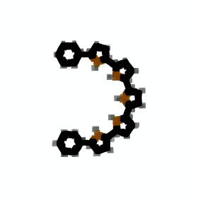 c1ccc(-c2ccc(-c3ccc(-c4ccc(-c5ccc(-c6ccc(-c7ccccc7)s6)s5)s4)s3)s2)cc1